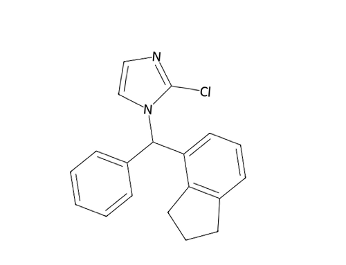 Clc1nccn1C(c1ccccc1)c1cccc2c1CCC2